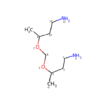 CC(CCN)OCOC(C)CCN